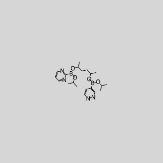 CC(C)OB(OC(C)CCC(C)OB(OC(C)C)c1ncccn1)c1ccnnc1